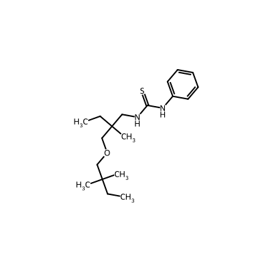 CCC(C)(C)COCC(C)(CC)CNC(=S)Nc1ccccc1